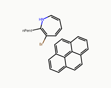 CCCCCC1=C(Br)C=CC=CN1.c1cc2ccc3cccc4ccc(c1)c2c34